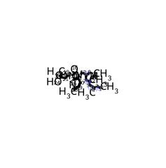 C/C=C/C(C)=C\C=C\C(=C/N(C)C)Cn1c(=O)n([C@@H](CC)CC(=O)O)c2nc(C)ccc21